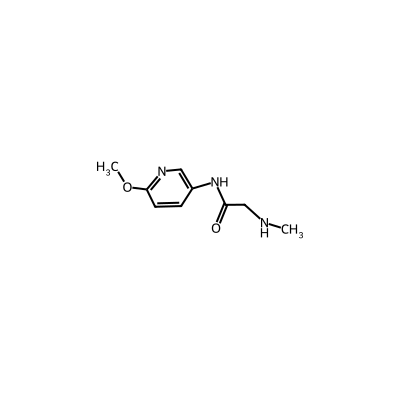 CNCC(=O)Nc1ccc(OC)nc1